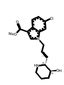 COC(=O)c1cn(C/C=C/[C@H]2NCCC[C@@H]2O)c2cc(Cl)ccc12